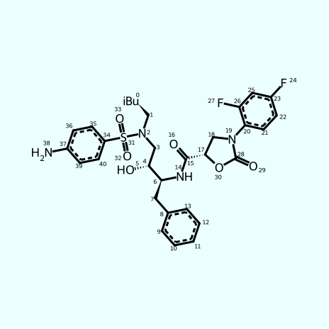 CC[C@H](C)CN(C[C@@H](O)[C@H](Cc1ccccc1)NC(=O)[C@@H]1CN(c2ccc(F)cc2F)C(=O)O1)S(=O)(=O)c1ccc(N)cc1